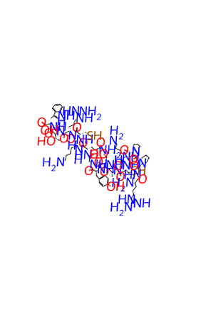 C[C@H](NC(=O)[C@H](CS)NC(=O)[C@H](CCCCN)NC(=O)[C@@H]1CCCN1C(=O)[C@@H]1CCCN1C(=O)CNC(=O)[C@@H](N)CCCNC(=N)N)C(=O)N[C@H](C(=O)N[C@@H](Cc1ccc(O)cc1)C(=O)NCC(=O)N[C@@H](CCC(N)=O)C(=O)N[C@@H](CCCCN)C(=O)N[C@@H](CS)C(=O)N[C@@H](CCCNC(=N)N)C(=O)N[C@H](C(=O)N[C@@H](Cc1c[nH]c2ccccc12)C(=O)O)[C@@H](C)O)[C@@H](C)O